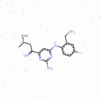 CN[C@H](C)CC(=N)c1cc(Nc2ccc(F)cc2CN)nc(N)n1